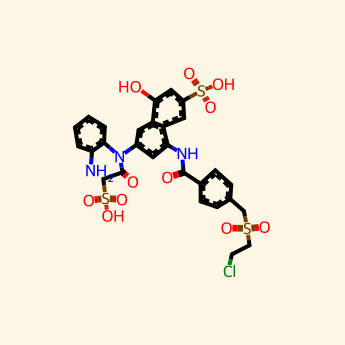 Nc1ccccc1N(C(=O)CS(=O)(=O)O)c1cc(NC(=O)c2ccc(CS(=O)(=O)CCCl)cc2)c2cc(S(=O)(=O)O)cc(O)c2c1